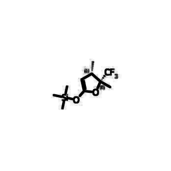 C[C@H]1C=C(O[Si](C)(C)C)O[C@@]1(C)C(F)(F)F